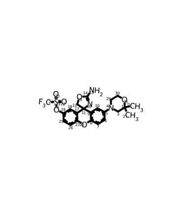 CC1(C)CN(c2ccc3c(c2)C2(COC(N)=N2)c2cc(OS(=O)(=O)C(F)(F)F)ccc2O3)CCO1